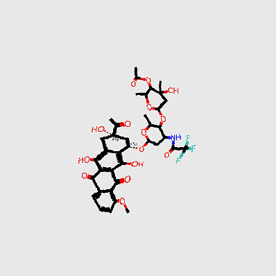 COc1cccc2c1C(=O)c1c(O)c3c(c(O)c1C2=O)C[C@@](O)(C(C)=O)C[C@@H]3OC1CC(NC(=O)C(F)(F)F)C(OC2CC(C)(O)C(OC(C)=O)C(C)O2)C(C)O1